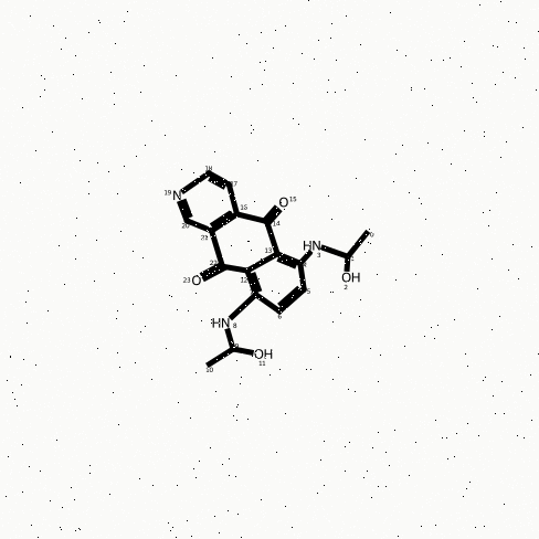 CC(O)Nc1ccc(NC(C)O)c2c1C(=O)c1ccncc1C2=O